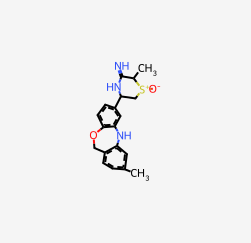 Cc1ccc2c(c1)Nc1cc(C3C[S+]([O-])C(C)C(=N)N3)ccc1OC2